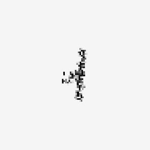 CCC(C(=O)O)N(C)C(=N)NP(=O)(OCCOC(=O)OCCc1ccccc1)OCCOC(=O)OCCc1ccccc1